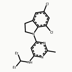 CCC(CC)Nc1cc(N2CCc3cc(Cl)cc(Cl)c32)nc(C)n1